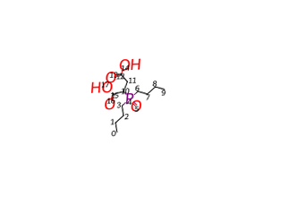 CCCCP(=O)(CCCC)C(CC(=O)O)C(=O)O